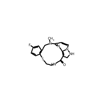 CN1Cc2cc(F)ccc2SCCNC(=O)C2=C3N=C1C=CN3NC2